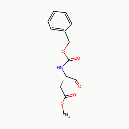 COC(=O)C[C@@H](C=O)NC(=O)OCc1ccccc1